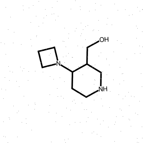 OCC1CNCCC1N1CCC1